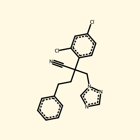 N#CC(CCc1ccccc1)(Cn1cncn1)c1ccc(Cl)cc1Cl